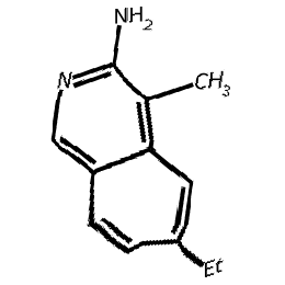 CCc1ccc2cnc(N)c(C)c2c1